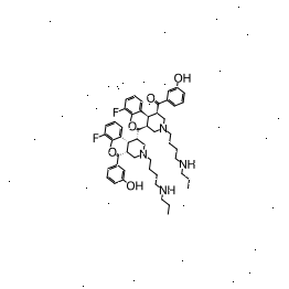 CCCNCCCCN1C[C@H](C(=O)c2cccc(O)c2)[C@H](c2cccc(F)c2C)[C@H](C(=O)[C@@H]2CN(CCCCNCCC)C[C@H](C(=O)c3cccc(O)c3)[C@@H]2c2cccc(F)c2C)C1